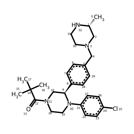 C[C@@H]1CN(Cc2ccc([C@@H]3CN(C(=O)C(C)(C)C)CCN3c3ccc(Cl)cc3)cc2)CCN1